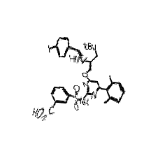 Cc1cccc(C)c1-c1cc(OCC(CC(C)(C)C)NCc2ccc(I)cc2)nc(NS(=O)(=O)c2cccc(C(=O)O)c2)n1